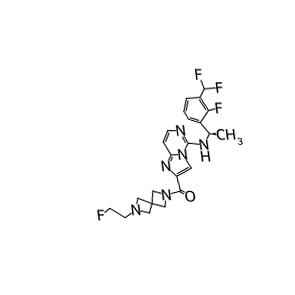 C[C@@H](Nc1nccc2nc(C(=O)N3CC4(CN(CCF)C4)C3)cn12)c1cccc(C(F)F)c1F